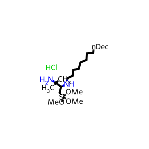 CCCCCCCCCCCCCCCCCCNC(C[Si](OC)(OC)OC)C(C)(C)N.Cl